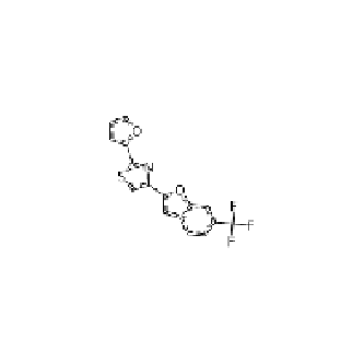 FC(F)(F)c1ccc2cc(-c3csc(-c4ccco4)n3)oc2c1